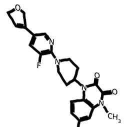 Cn1c(=O)c(=O)n(C2CCN(c3ncc(C4=CCOC4)cc3F)CC2)c2ccc(F)cc21